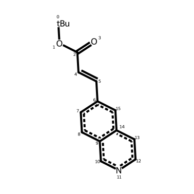 CC(C)(C)OC(=O)/C=C/c1ccc2cnccc2c1